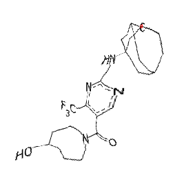 O=C(c1cnc(NC23CCC4CC(CC(C4)C2)C3)nc1C(F)(F)F)N1CCC(O)CC1